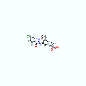 COc1ccc(CC2(C(=O)O)CC2)cc1CNC(=O)c1ccc(Cl)cc1Cl